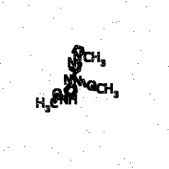 CCOCCn1c(-c2ccc(N3CCCC3C)nc2)nc2cc(NC(C)=O)ccc21